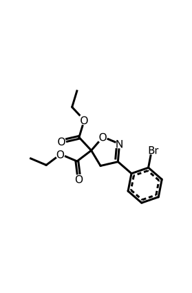 CCOC(=O)C1(C(=O)OCC)CC(c2ccccc2Br)=NO1